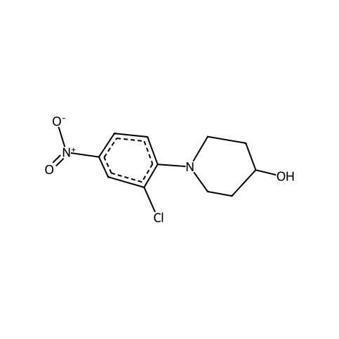 O=[N+]([O-])c1ccc(N2CCC(O)CC2)c(Cl)c1